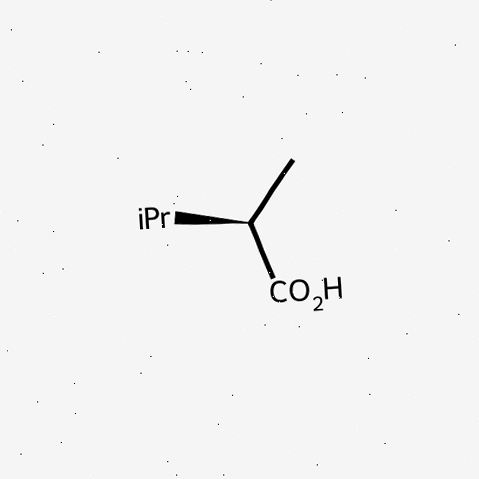 CC(C)[C@@H](C)C(=O)O